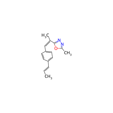 CC=Cc1ccc(C=C(C)c2nnc(C)o2)cc1